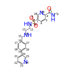 CNC(=O)c1ccc(S(=O)(=O)NCCNCc2ccc(-c3cccnc3)cc2)cn1